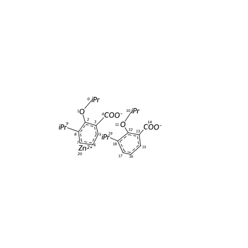 CC(C)Oc1c(C(=O)[O-])cccc1C(C)C.CC(C)Oc1c(C(=O)[O-])cccc1C(C)C.[Zn+2]